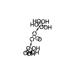 O/C=C1/OC(C#Cc2ccc3c(c2)C2(CCOCC2)c2cc(C#CC4O[C@H](CO)[C@@H](O)[C@H](O)[C@@H]4O)ccc2-3)[C@@H](O)[C@@H](O)[C@@H]1O